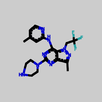 Cc1ccnc(Nc2nc(N3CCNCC3)nc3c(C)nn(CC(F)(F)F)c23)c1